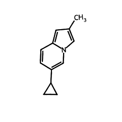 Cc1cc2ccc(C3CC3)cn2c1